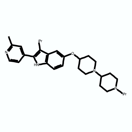 Cc1cc(-c2[nH]c3ccc(OC4CCN(C5CCN(C(C)C)CC5)CC4)cc3c2C(C)C)ccn1